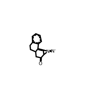 [N-]=[N+]1C2=C3c4ccccc4CCC3CC(=O)C21